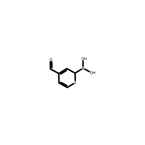 O=CC1=CC(B(O)O)SC=C1